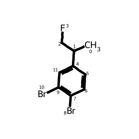 C[C](CF)c1ccc(Br)c(Br)c1